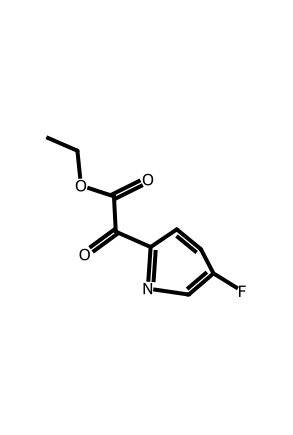 CCOC(=O)C(=O)c1ccc(F)cn1